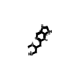 COC(CO)Cc1ncc2nc[nH]c2n1